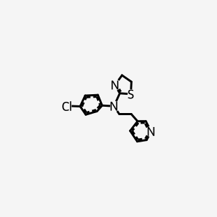 Clc1ccc(N(CCc2cccnc2)C2=NCCS2)cc1